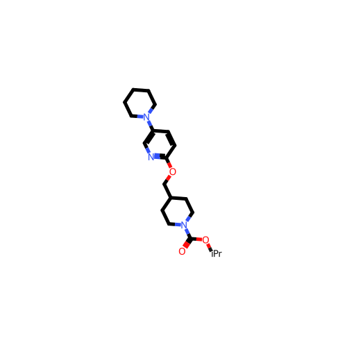 CC(C)OC(=O)N1CCC(COc2ccc(N3CCCCC3)cn2)CC1